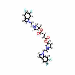 CC1(OC(=O)/C=C/C(=O)OC2(C)CCN(CCn3ccc4cc(F)c(F)cc43)C2)CCN(CCn2ccc3cc(F)c(F)cc32)C1